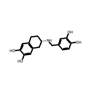 Oc1ccc(CN[C@H]2CCc3cc(O)c(O)cc3C2)cc1O